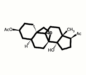 CC(=O)O[C@H]1CC[C@@]23CO[C@@]4(CC[C@H]2C1)[C@@H]3CC[C@]1(C)[C@@H](C(C)=O)CC[C@@]41O